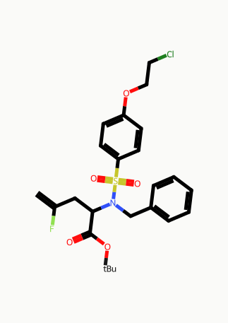 C=C(F)CC(C(=O)OC(C)(C)C)N(Cc1ccccc1)S(=O)(=O)c1ccc(OCCCl)cc1